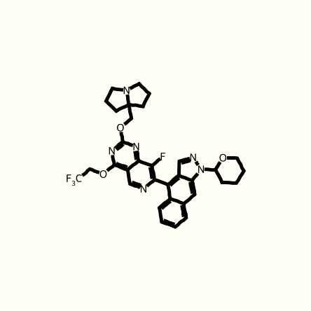 Fc1c(-c2c3ccccc3cc3c2cnn3C2CCCCO2)ncc2c(OCC(F)(F)F)nc(OCC34CCCN3CCC4)nc12